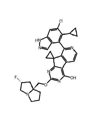 Oc1nc(OC[C@@]23CCCN2C[C@H](F)C3)nc2c1-c1ccnc(-c3c(C4CC4)c(Cl)cc4[nH]ncc34)c1C21CC1